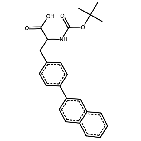 CC(C)(C)OC(=O)NC(Cc1ccc(-c2ccc3ccccc3c2)cc1)C(=O)O